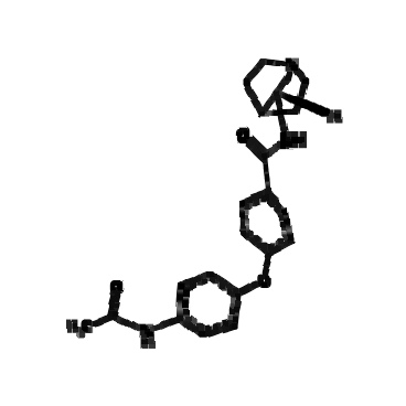 CC(=O)Nc1ccc(Oc2ccc(C(=O)N[C@H]3CN4CCC3CC4)cc2)cc1